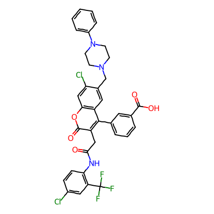 O=C(Cc1c(-c2cccc(C(=O)O)c2)c2cc(CN3CCN(c4ccccc4)CC3)c(Cl)cc2oc1=O)Nc1ccc(Cl)cc1C(F)(F)F